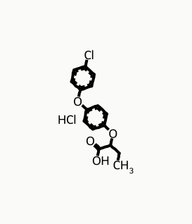 CCC(Oc1ccc(Oc2ccc(Cl)cc2)cc1)C(=O)O.Cl